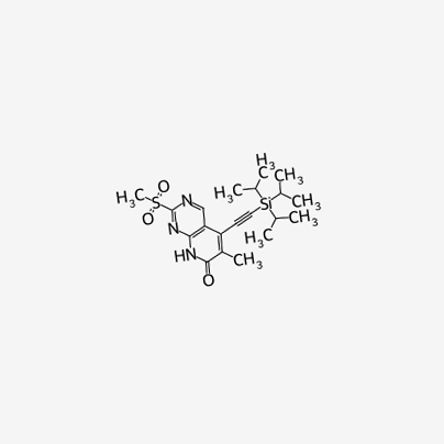 Cc1c(C#C[Si](C(C)C)(C(C)C)C(C)C)c2cnc(S(C)(=O)=O)nc2[nH]c1=O